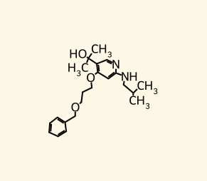 CC(C)CNc1cc(OCCCOCc2ccccc2)c(C(C)(C)O)cn1